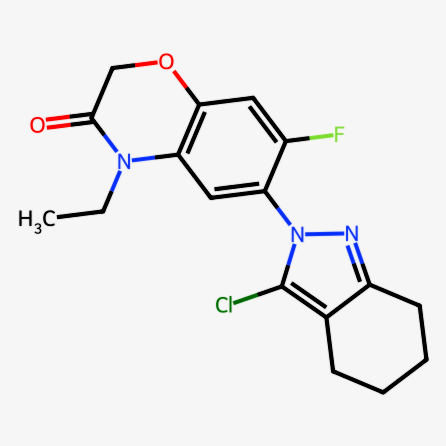 CCN1C(=O)COc2cc(F)c(-n3nc4c(c3Cl)CCCC4)cc21